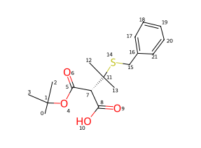 CC(C)(C)OC(=O)[C@@H](C(=O)O)C(C)(C)SCc1ccccc1